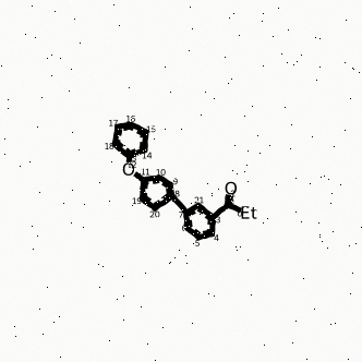 CCC(=O)c1cccc(-c2ccc(Oc3ccccc3)cc2)c1